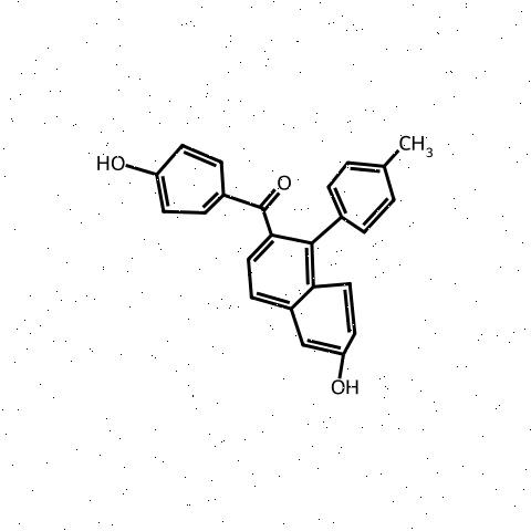 Cc1ccc(-c2c(C(=O)c3ccc(O)cc3)ccc3cc(O)ccc23)cc1